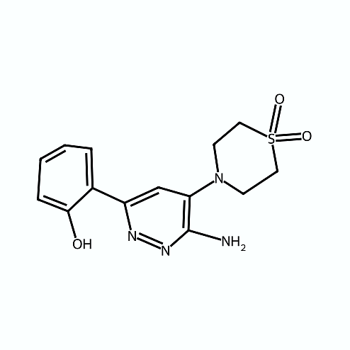 Nc1nnc(-c2ccccc2O)cc1N1CCS(=O)(=O)CC1